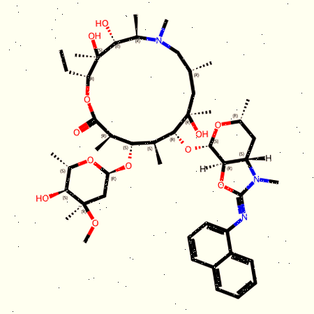 CC[C@H]1OC(=O)[C@H](C)[C@@H](O[C@H]2C[C@@](C)(OC)[C@@H](O)[C@H](C)O2)[C@H](C)[C@@H](O[C@@H]2O[C@H](C)C[C@H]3[C@H]2OC(=Nc2cccc4ccccc24)N3C)[C@](C)(O)C[C@@H](C)CN(C)[C@H](C)[C@@H](O)[C@]1(C)O